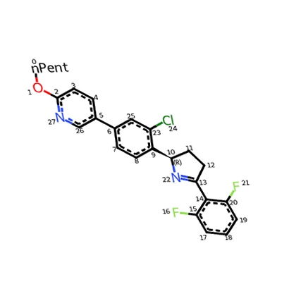 CCCCCOc1ccc(-c2ccc([C@H]3CCC(c4c(F)cccc4F)=N3)c(Cl)c2)cn1